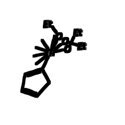 CC[O][Ti]([CH3])([CH3])([CH3])([CH3])([CH3])([O]CC)([O]CC)[C]1=CC=CC1